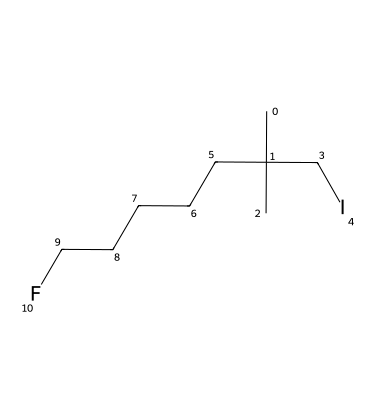 CC(C)(CI)CCCCCF